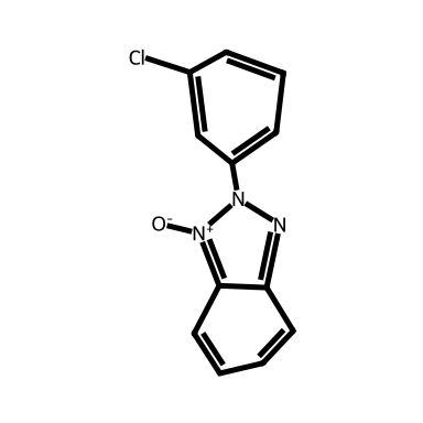 [O-][n+]1c2ccccc2nn1-c1cccc(Cl)c1